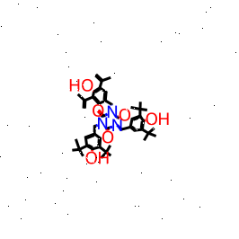 C=C(C)c1cc(Cn2c(=O)n(Cc3cc(C(C)(C)C)c(O)c(C(C)(C)C)c3)c(=O)n(Cc3cc(C(C)(C)C)c(O)c(C(C)(C)C)c3)c2=O)cc(C(=C)C)c1O